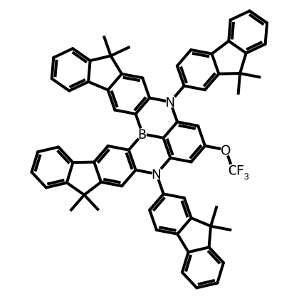 CC1(C)c2ccccc2-c2ccc(N3c4cc5c(cc4B4c6cc7c(cc6N(c6ccc8c(c6)C(C)(C)c6ccccc6-8)c6cc(OC(F)(F)F)cc3c64)C(C)(C)c3ccccc3-7)-c3ccccc3C5(C)C)cc21